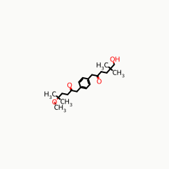 COC(C)(C)CCC(=O)Cc1ccc(CC(=O)CCC(C)(C)CO)cc1